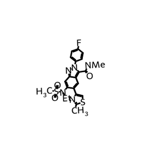 CCN(c1cc2nn(-c3ccc(F)cc3)c(C(=O)NC)c2cc1-c1csc(C)n1)S(C)(=O)=O